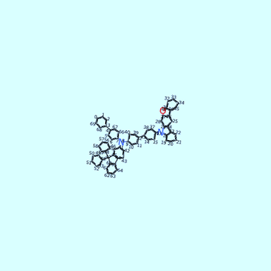 c1ccc(-c2ccc(N(c3ccc(-c4ccc(-n5c6ccccc6c6cc7c(cc65)oc5ccccc57)cc4)cc3)c3ccc4c(c3)C(c3ccccc3)(c3ccccc3)c3ccccc3-4)cc2)cc1